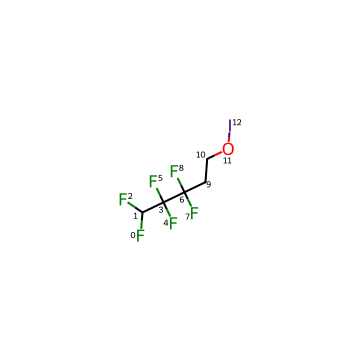 FC(F)C(F)(F)C(F)(F)CCOI